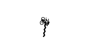 CCCCCCCn1ccnc1[N+](=O)[O-]